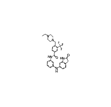 CCN1CCN(Cc2ccc(C(=O)Nc3cccc(Nc4ccc5c(c4)NC(=O)C5)c3)cc2C(F)(F)F)CC1